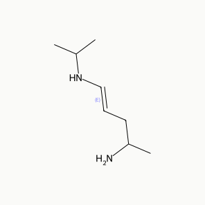 CC(N)C/C=C/NC(C)C